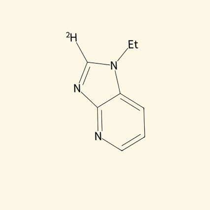 [2H]c1nc2ncccc2n1CC